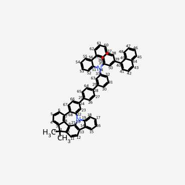 CC1(C)c2cccc3c2-c2c1ccc1c4ccccc4n(c21)-c1cc(-c2ccc(-c4cccc(N(c5cccc(-c6cccc7ccccc67)c5)c5ccccc5-c5ccccc5)c4)cc2)ccc1-3